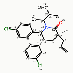 C=CC[C@@]1(C)C[C@H](c2cccc(Cl)c2)[C@@H](c2ccc(Cl)cc2)N(C(CC)[C@H](C)C=O)C1=O